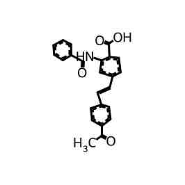 CC(=O)c1ccc(C=Cc2ccc(C(=O)O)c(NC(=O)c3ccccc3)c2)cc1